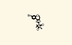 CN1C(=O)N(c2nc3c(s2)CCOc2cc(Br)ccc2-3)C(C)(C)C1=O